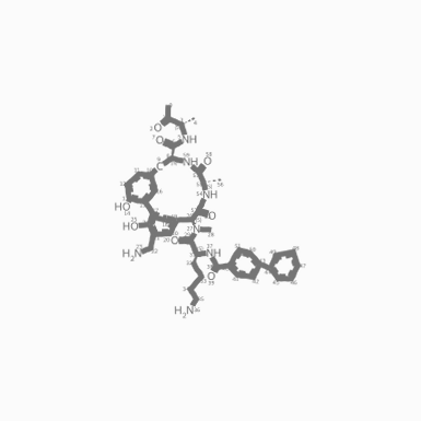 CC(=O)[C@H](C)NC(=O)[C@@H]1Cc2ccc(O)c(c2)-c2cc(cc(CN)c2O)[C@H](N(C)C(=O)[C@H](CCCCN)NC(=O)c2ccc(-c3ccccc3)cc2)C(=O)N[C@@H](C)C(=O)N1